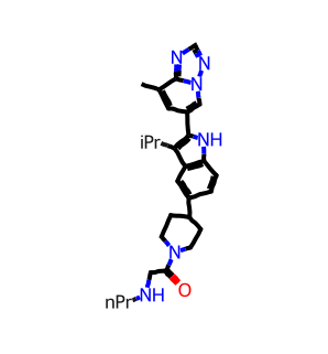 CCCNCC(=O)N1CCC(c2ccc3[nH]c(-c4cc(C)c5ncnn5c4)c(C(C)C)c3c2)CC1